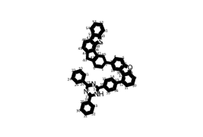 C1=CC(c2ccc3oc4cccc(-c5ccc(C6N=C(c7ccccc7)N=C(c7ccccc7)N6)cc5)c4c3c2)CC2=C1Cc1ccc3c(sc4ccccc43)c12